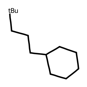 CC(C)(C)CCCC1CCCCC1